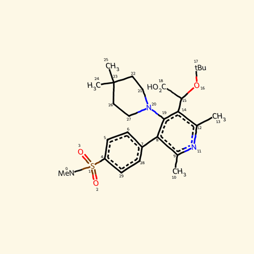 CNS(=O)(=O)c1ccc(-c2c(C)nc(C)c(C(OC(C)(C)C)C(=O)O)c2N2CCC(C)(C)CC2)cc1